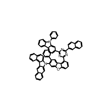 c1ccc(-c2cc3c(cc2-n2c4cc5ccccc5cc4c4c5ccccc5ccc42)oc2cccc(-c4nc(-c5ccc6ccccc6c5)nc(-c5ccc6c7ccccc7n(-c7ccccc7)c6c5)n4)c23)cc1